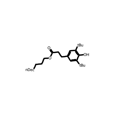 CCCCCCCCCCCCCOC(=O)CCc1cc(C(C)(C)C)c(O)c(C(C)(C)C)c1